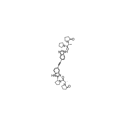 C[C@@H](C(=O)N1CCC[C@H]1c1nc2cc(C#Cc3ccc4[nH]c([C@@H]5CCCN5C(=O)[C@H](C)N5CCCC5=O)nc4c3)ccc2[nH]1)N1CCCC1=O